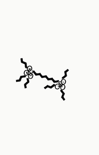 CCCCO[Si](CCCCCCCCC[Si](OCCCC)(OCCCC)OCCCC)(OCCCC)OCCCC